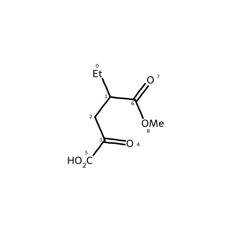 CCC(CC(=O)C(=O)O)C(=O)OC